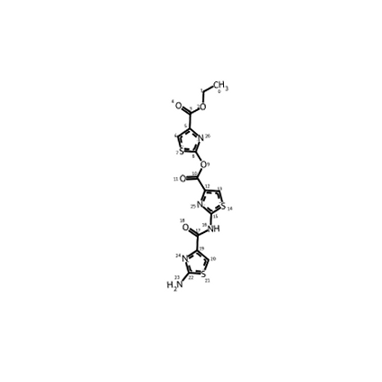 CCOC(=O)c1csc(OC(=O)c2csc(NC(=O)c3csc(N)n3)n2)n1